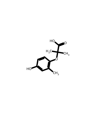 Cc1cc(O)ccc1OC(C)(C)C(=O)O